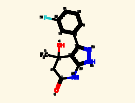 O=C1CC(O)(C(F)(F)F)c2c(-c3cccc(F)c3)n[nH]c2N1